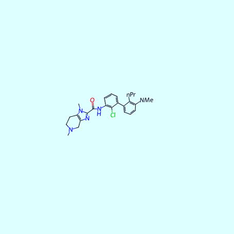 CCCc1c(NC)cccc1-c1cccc(NC(=O)c2nc3c(n2C)CCN(C)C3)c1Cl